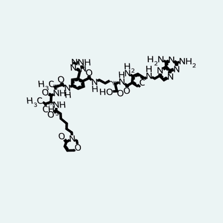 CC(C)[C@H](NC(=O)CCCCCN1COCC=CC1=O)C(=O)N[C@@H](C)C(=O)Nc1ccc(C(=O)NCCC[C@H](NC(=O)c2ccc(NCc3cnc4nc(N)nc(N)c4n3)cc2N)C(=O)O)c(-c2nn[nH]n2)c1